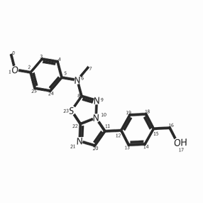 COc1ccc(N(C)c2nn3c(-c4ccc(CO)cc4)cnc3s2)cc1